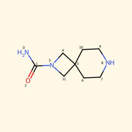 NC(=O)N1CC2(CCNCC2)C1